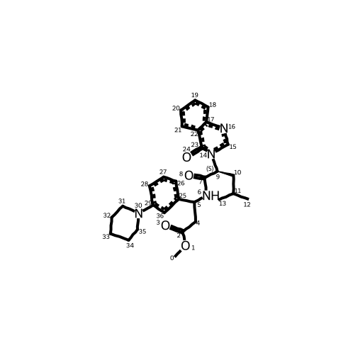 COC(=O)CC(NC(=O)[C@H](CC(C)C)n1cnc2ccccc2c1=O)c1cccc(N2CCCCC2)c1